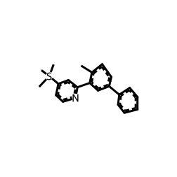 Cc1ccc(-c2ccccc2)cc1-c1cc(S(C)(C)C)ccn1